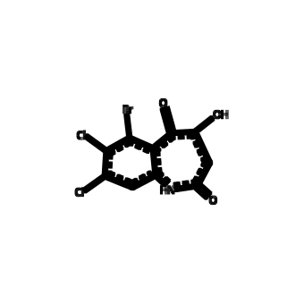 O=c1cc(O)c(=O)c2c(Br)c(Cl)c(Cl)cc2[nH]1